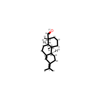 CC(C)=C1C=C2CC[C@@H]3[C@](C)(CCC[C@@]3(C)C=O)[C@H]2CC1